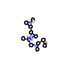 c1ccc(-c2cc(-c3cccc(-n4c5ccccc5c5cc(-c6cccc7sc8ccccc8c67)ccc54)c3)nc(-n3c4ccccc4c4cc(-c5ccc6c(c5)c5ccccc5n6-c5ccccc5)ccc43)n2)cc1